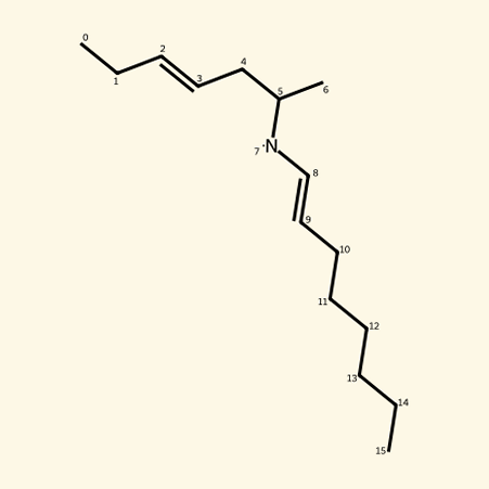 CC/C=C/CC(C)[N]/C=C/CCCCCC